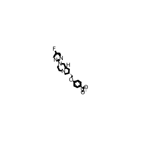 O=[N+]([O-])c1ccc(OC[C@H]2C[C@H]3CN(c4ncc(F)cn4)CCN3C2)cc1